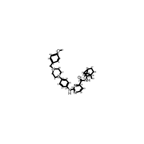 COc1ccc(CN2CCN(c3ccc(Nc4nccc(C(=O)NC5CC6CCC5(C)C6(C)C)n4)cc3)CC2)cc1